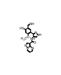 COc1cc(S)c(C=N)cc1-c1n[nH]cc1NC(=O)c1cnn2cccnc12